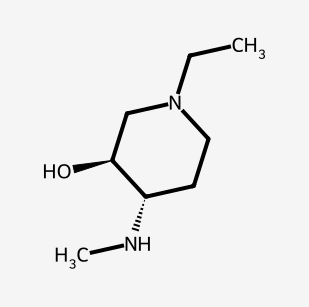 CCN1CC[C@H](NC)[C@@H](O)C1